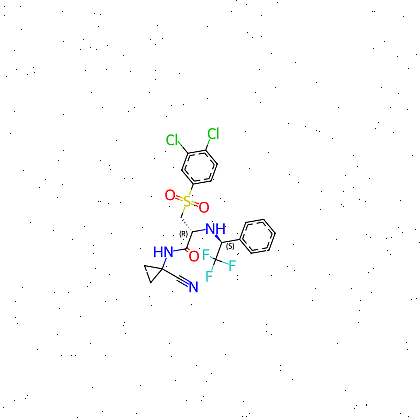 N#CC1(NC(=O)[C@H](CS(=O)(=O)c2ccc(Cl)c(Cl)c2)N[C@@H](c2ccccc2)C(F)(F)F)CC1